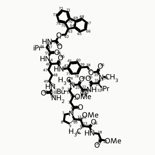 CCC(C)[C@@H]([C@@H](CC(=O)N1CCC[C@H]1[C@H](OC)[C@@H](C)C(=O)NCC(=O)OC)OC)N(C)C(=O)[C@@H](NC(=O)[C@H](C(C)C)N(C)C(=O)OCc1ccc(NC(=O)C(CCCNC(N)=O)NC(=O)[C@@H](NC(=O)OCC2c3ccccc3-c3ccccc32)C(C)C)cc1)C(C)C